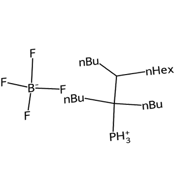 CCCCCCC(CCCC)C([PH3+])(CCCC)CCCC.F[B-](F)(F)F